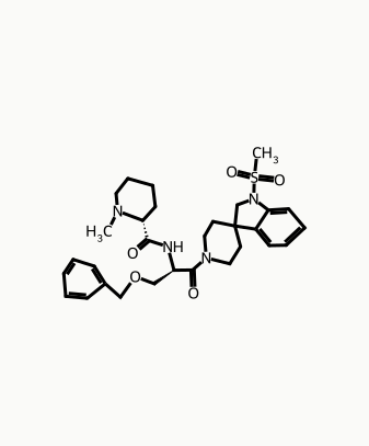 CN1CCCC[C@@H]1C(=O)N[C@H](COCc1ccccc1)C(=O)N1CCC2(CC1)CN(S(C)(=O)=O)c1ccccc12